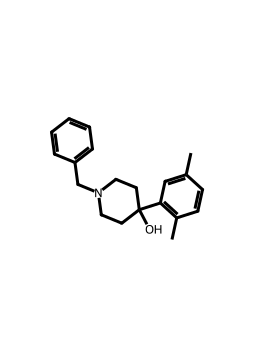 Cc1ccc(C)c(C2(O)CCN(Cc3ccccc3)CC2)c1